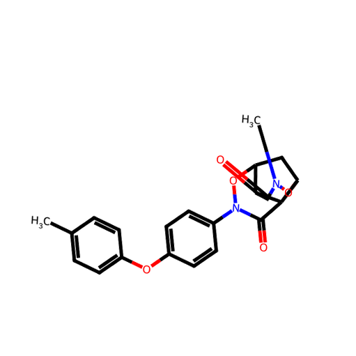 Cc1ccc(Oc2ccc(N3OC4CC5ON(C)C(=O)C4C5C3=O)cc2)cc1